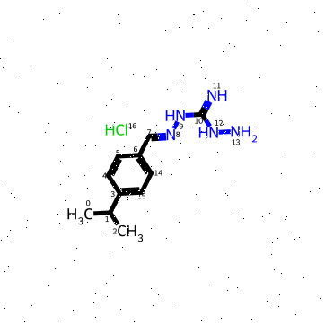 CC(C)c1ccc(C=NNC(=N)NN)cc1.Cl